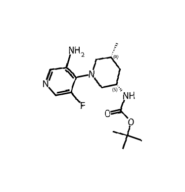 C[C@@H]1C[C@H](NC(=O)OC(C)(C)C)CN(c2c(N)cncc2F)C1